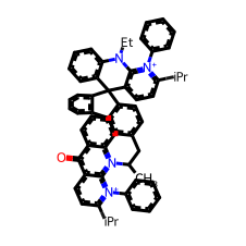 CCN1c2ccccc2C2(c3ccccc3-c3cc(CC(C)n4c5ccccc5c(=O)c5ccc(C(C)C)[n+](-c6ccccc6)c54)ccc32)c2ccc(C(C)C)[n+](-c3ccccc3)c21